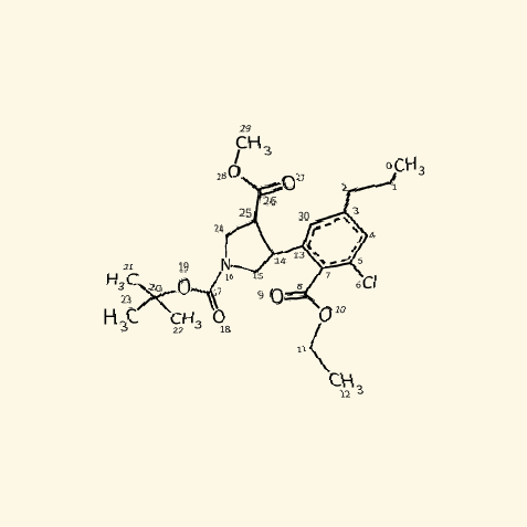 CCCc1cc(Cl)c(C(=O)OCC)c(C2CN(C(=O)OC(C)(C)C)CC2C(=O)OC)c1